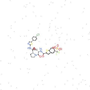 CC(C)(C)[C@H](NC(=O)c1cc2cc(C(F)(F)P(=O)(O)O)ccc2s1)C(=O)N1CCC[C@H]1C(=O)Nc1ncc(-c2ccc(Cl)cc2)s1